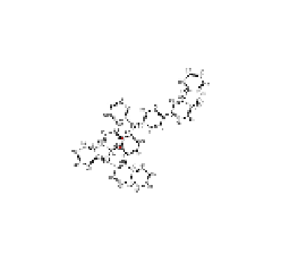 c1ccc(N(c2ccc(-c3ccc4oc5ccccc5c4c3)cc2)c2ccc(-c3cccc4ccccc34)cc2)c(-c2ccc3oc4ccccc4c3c2)c1